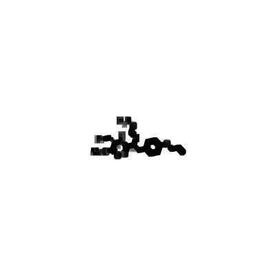 BOC=N[C@@H](Cc1ccc(OCC=C)cc1)C(=O)N[C@@H](CC(C)C)C(=O)OC